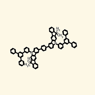 CC1(C)c2ccccc2-c2cc3c4cc(-c5ccc(-c6ccc7c(c6)c6cc8c(cc6n7-c6cccc(-c7cc(-c9ccccc9)cc(-c9ccccc9)c7)c6)C(C)(C)c6ccccc6-8)cc5)ccc4n(-c4cccc(-c5cc(-c6ccccc6)cc(-c6ccccc6)c5)c4)c3cc21